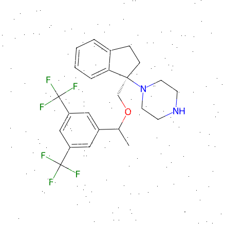 CC(OC[C@@]1(N2CCNCC2)CCc2ccccc21)c1cc(C(F)(F)F)cc(C(F)(F)F)c1